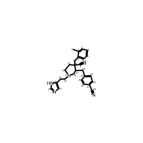 Cc1ccccc1CC1(C#N)CCN(CCc2cnc[nH]2)CC1Cc1ccc(C#N)cc1